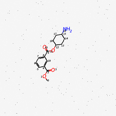 COC(=O)c1cccc(C(=O)OC2CCC(N)CC2)c1